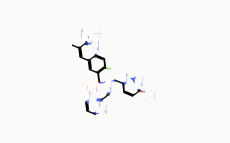 Cc1cc2cc(C(=O)N(Cc3ccc(Br)nn3)[C@H](C)c3ncccn3)c(F)cc2nc1N